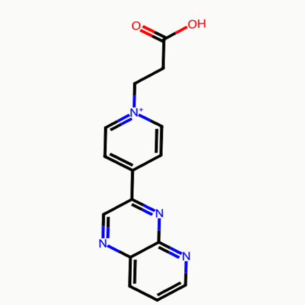 O=C(O)CC[n+]1ccc(-c2cnc3cccnc3n2)cc1